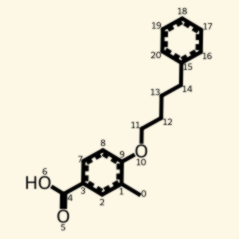 Cc1cc(C(=O)O)ccc1OCCCCc1ccccc1